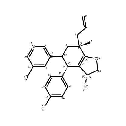 C=CC[C@@]1(C)C[C@H](c2cncc(Cl)c2)[C@@H](c2ccc(Cl)cc2)C2=C1OC[C@@H]2CC